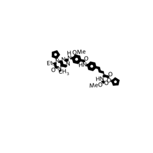 CC[C@@H]1C(=O)N(C)c2cnc(Nc3ccc(C(=O)Nc4ccc(CCC[C@H](NC(=O)OC)C(=O)OC5CCCC5)cc4)cc3OC)nc2N1C1CCCC1